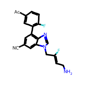 CC(=O)c1ccc(F)c(-c2cc(C#N)cc3c2ncn3C/C(F)=C/CN)c1